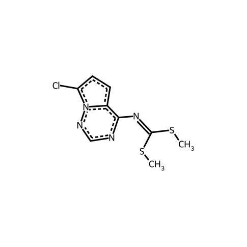 CSC(=Nc1ncnn2c(Cl)ccc12)SC